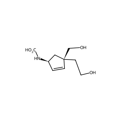 O=C(O)N[C@@H]1C=C[C@@](CO)(CCO)C1